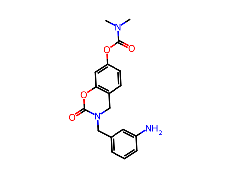 CN(C)C(=O)Oc1ccc2c(c1)OC(=O)N(Cc1cccc(N)c1)C2